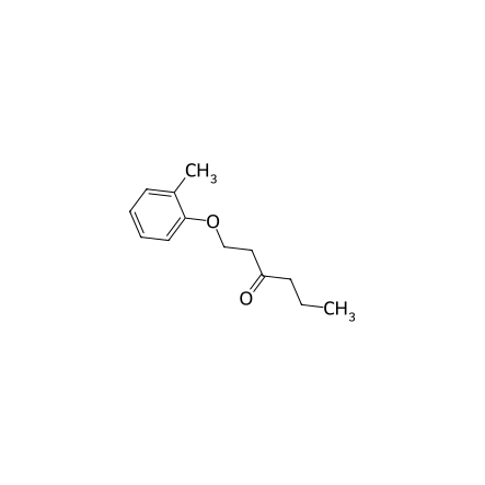 CCCC(=O)CCOc1ccccc1C